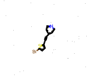 Brc1ccc(C#Cc2ccncc2)s1